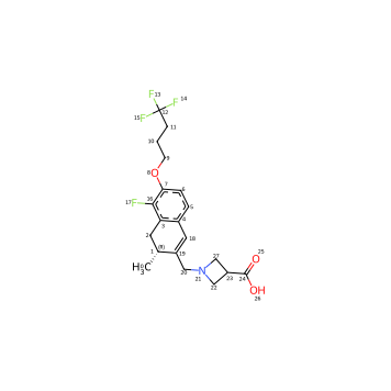 C[C@@H]1Cc2c(ccc(OCCCC(F)(F)F)c2F)C=C1CN1CC(C(=O)O)C1